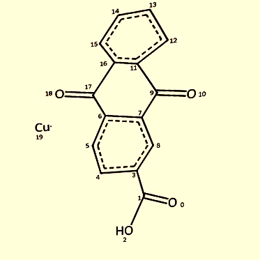 O=C(O)c1ccc2c(c1)C(=O)c1ccccc1C2=O.[Cu]